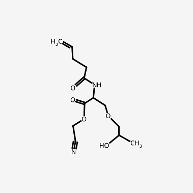 C=CCCC(=O)NC(COCC(C)O)C(=O)OCC#N